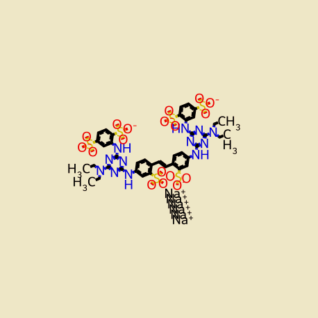 CCN(CC)c1nc(Nc2ccc(C=Cc3ccc(Nc4nc(Nc5cc(S(=O)(=O)[O-])ccc5S(=O)(=O)[O-])nc(N(CC)CC)n4)cc3S(=O)(=O)[O-])c(S(=O)(=O)[O-])c2)nc(Nc2cc(S(=O)(=O)[O-])ccc2S(=O)(=O)[O-])n1.[Na+].[Na+].[Na+].[Na+].[Na+].[Na+]